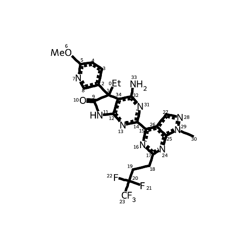 CCC1(c2ccc(OC)nc2)C(=O)Nc2nc(-c3nc(CCC(F)(F)C(F)(F)F)nc4c3cnn4C)nc(N)c21